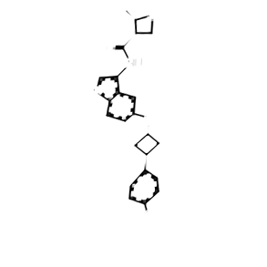 C[C@H]1OC[C@H]1C(=O)Nc1c[nH]c2ccc(O[C@H]3C[C@H](c4ccc(C(F)(F)F)cc4)C3)cc12